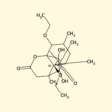 CCOC1C(C)CC[C@]2(OCC)C3(C)CC(=O)OC12C1(O)C(C)=C(C)C(=O)C13O